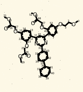 COCCOc1ccc(-c2cc(-c3ccc(OCC(=O)OC)cc3OCC(=O)OC)nc(-c3ccc(-c4ccccc4)cc3)n2)c(OCC(=O)OC)c1